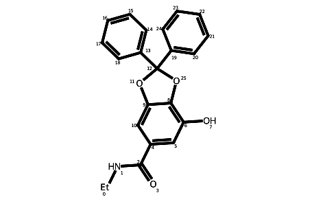 CCNC(=O)c1cc(O)c2c(c1)OC(c1ccccc1)(c1ccccc1)O2